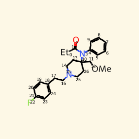 CCC(=O)N(c1ccccc1)C1(COC)CCN(CCc2ccc(F)cc2)CC1